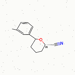 Cc1cccc(C2CCC[C@@H](C#N)O2)c1